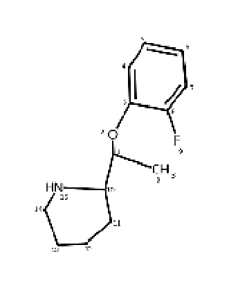 CC(Oc1ccccc1F)C1CCCCN1